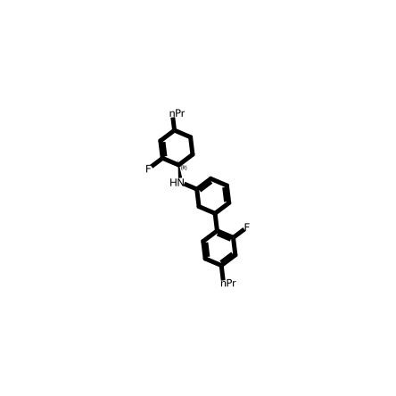 CCCc1ccc(C2C=CC=C(N[C@@H]3CCC(CCC)C=C3F)C2)c(F)c1